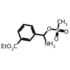 CCOC(=O)c1cccc(C(N)OS(C)(=O)=O)c1